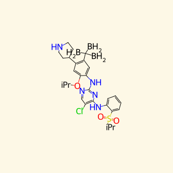 BC(B)(B)c1cc(Nc2ncc(Cl)c(Nc3ccccc3S(=O)(=O)C(C)C)n2)c(OC(C)C)cc1C1CCNCC1